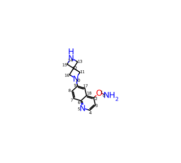 NOc1ccnc2ccc(N3CC4(CNC4)C3)cc12